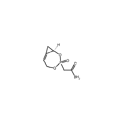 BC(=O)CP1(=O)OCC=C2C[C@H]2O1